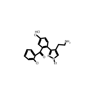 CCn1cc(CCN)c(-c2ccc(Cl)cc2C(=O)c2ccccc2Cl)n1.Cl